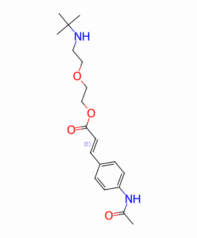 CC(=O)Nc1ccc(/C=C/C(=O)OCCOCCNC(C)(C)C)cc1